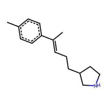 C/C(=C\CCC1CCNC1)c1ccc(C)cc1